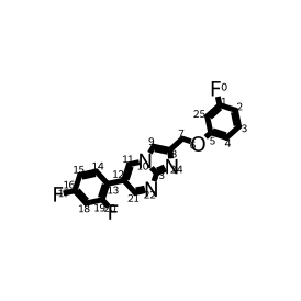 Fc1cccc(OCc2cn3cc(-c4ccc(F)cc4F)cnc3n2)c1